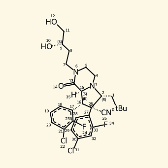 CC(C)(C)C[C@H]1N2CCN(CC[C@H](O)CO)C(=O)[C@@H]2[C@@H](c2cccc(Cl)c2F)[C@]1(C#N)c1ccc(Cl)cc1F